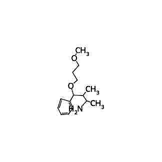 COCCCOC(c1ccccc1)C(C)C(C)N